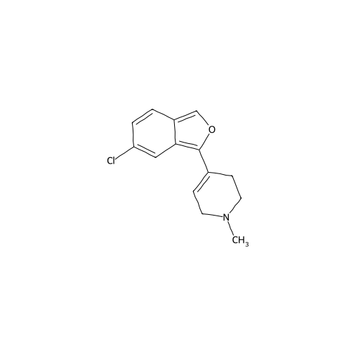 CN1CC=C(c2occ3ccc(Cl)cc23)CC1